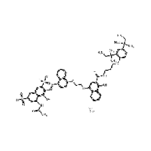 CCC(C)(C)c1ccc(OCCCNC(=O)c2cc(OCCOc3ccc(N=Nc4c(S(=O)(=O)[O-])cc5cc(S(=O)(=O)[O-])cc(NC(C)=O)c5c4O)c4ccccc34)c3ccccc3c2O)c(C(C)(C)CC)c1.[Na+].[Na+]